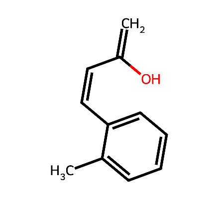 C=C(O)/C=C\c1ccccc1C